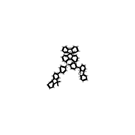 CC1(C)c2ccccc2-c2ccc(-c3ccc(N(c4ccc(-c5cccc6c5oc5ccccc56)cc4)c4cccc5c4-c4ccccc4C54c5ccccc5-c5ccccc54)cc3)cc21